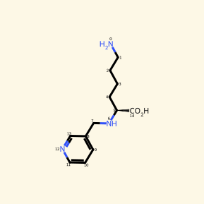 NCCCC[C@H](NCc1cccnc1)C(=O)O